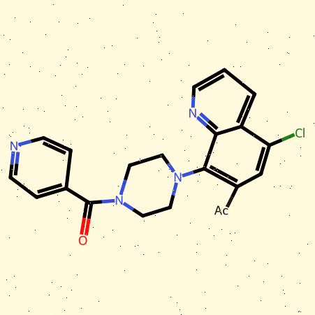 CC(=O)c1cc(Cl)c2cccnc2c1N1CCN(C(=O)c2ccncc2)CC1